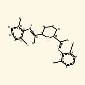 C/C(=N\c1c(C)cccc1C)C1CCCC(/C(C)=N/c2c(C)cccc2C)O1